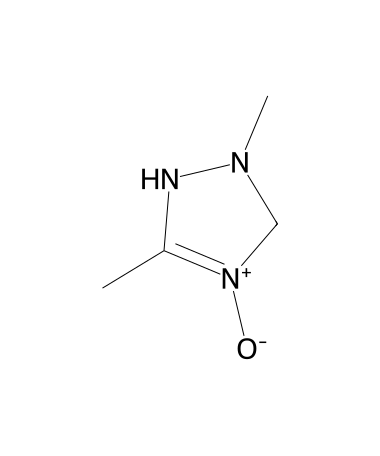 CC1=[N+]([O-])CN(C)N1